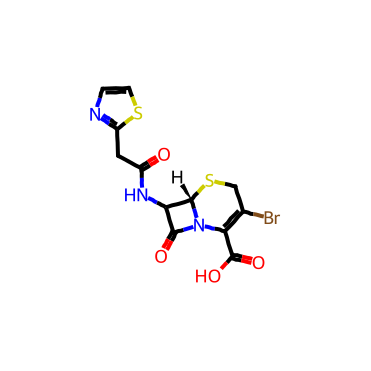 O=C(Cc1nccs1)NC1C(=O)N2C(C(=O)O)=C(Br)CS[C@@H]12